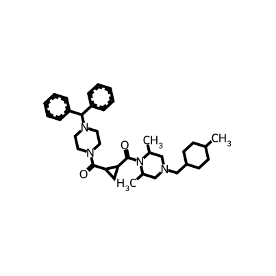 CC1CCC(CN2CC(C)N(C(=O)C3CC3C(=O)N3CCN(C(c4ccccc4)c4ccccc4)CC3)C(C)C2)CC1